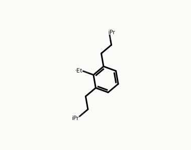 C[CH]c1c(CCC(C)C)cccc1CCC(C)C